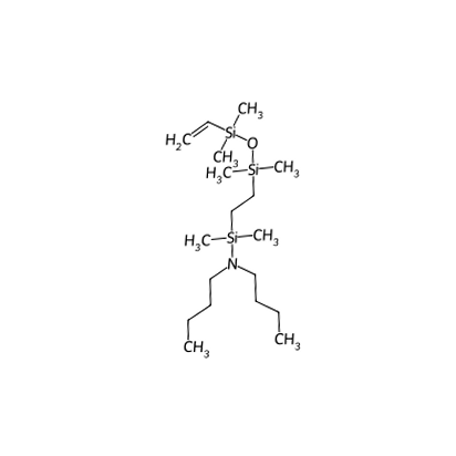 C=C[Si](C)(C)O[Si](C)(C)CC[Si](C)(C)N(CCCC)CCCC